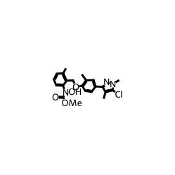 COC(=O)N(O)c1cccc(C)c1COc1ccc(-c2nn(C)c(Cl)c2C)cc1C